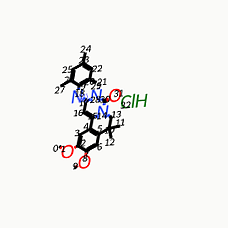 COc1cc2c(cc1OC)C(C)(C)Cn1c-2c/c(=N/c2c(C)cc(C)cc2C)n(C)c1=O.Cl